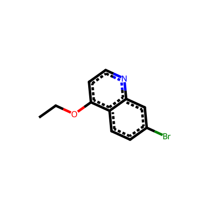 CCOc1ccnc2cc(Br)ccc12